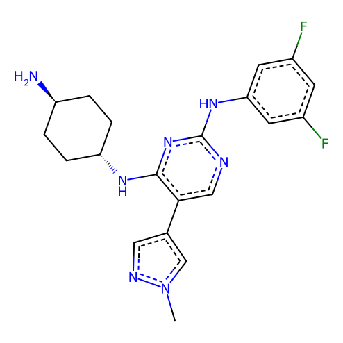 Cn1cc(-c2cnc(Nc3cc(F)cc(F)c3)nc2N[C@H]2CC[C@H](N)CC2)cn1